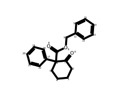 O=C1CCCCC1(C(=O)OCc1ccccc1)c1ccccc1